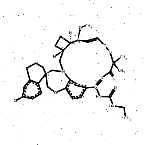 CCNC(=O)N/S1=N\C(=O)C(C)(C)OC/C=C/[C@H](OC)[C@@H]2CC[C@H]2CN2C[C@@]3(CCCc4cc(Cl)ccc43)COc3ccc1cc32